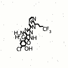 C[C@]1(c2ccc(Cl)c(O)c2)C(=O)Nc2nc(-c3cn4ccnc4c(CCCC(F)(F)F)n3)nc(N)c21